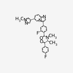 C[C@@H](C(=O)c1ccc(F)cc1)N(C)C(=O)c1ccc(-c2cnc3ccc(-c4cnn(C)c4)cn23)cc1F